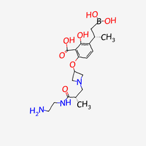 C[C@@H](CN1CC(Oc2ccc([C@@H](C)CB(O)O)c(O)c2C(=O)O)C1)C(=O)NCCN